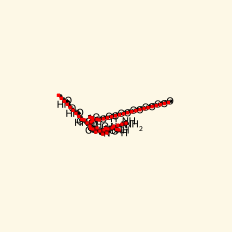 CCCCCC(=O)NCCOCCNC(=O)CCC(=O)CNCC[C@H](NC(=O)[C@@H](NC(=O)CCOCCOCCOCCOCCOCCOCCOCCOCCOCCOCCOCCOC)[C@@H](C)CC)C(=O)N1CCN(c2ccc3ncn(CC(=O)N[C@@H](CCCNC(=N)N)C(=O)NC)c(=O)c3c2)CC1